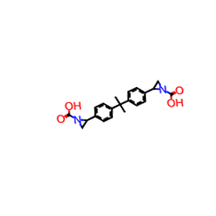 CC(C)(c1ccc(C2CN2C(=O)O)cc1)c1ccc(C2CN2C(=O)O)cc1